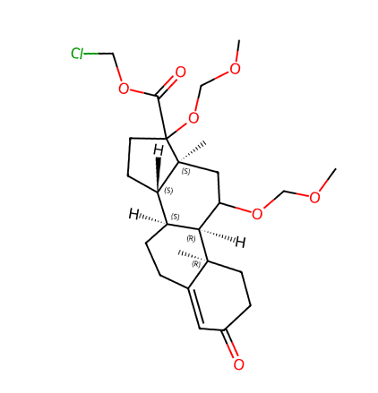 COCOC1C[C@@]2(C)[C@@H](CCC2(OCOC)C(=O)OCCl)[C@@H]2CCC3=CC(=O)CC[C@]3(C)[C@H]12